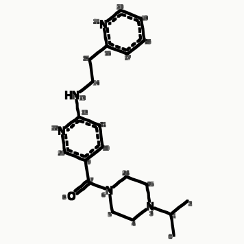 CC(C)N1CCN(C(=O)c2ccc(NCCc3ccccn3)nc2)CC1